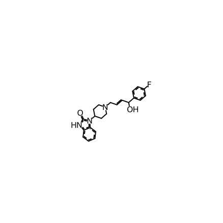 O=c1[nH]c2ccccc2n1C1CCN(CC=CC(O)c2ccc(F)cc2)CC1